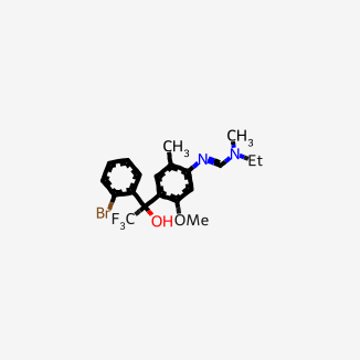 CCN(C)/C=N/c1cc(OC)c(C(O)(c2ccccc2Br)C(F)(F)F)cc1C